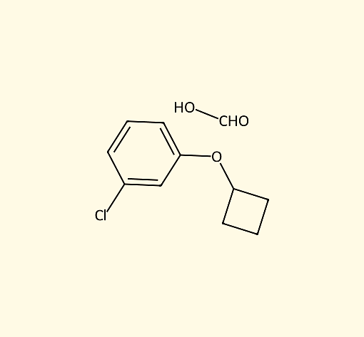 Clc1cccc(OC2CCC2)c1.O=CO